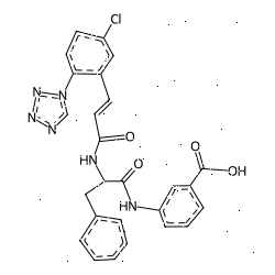 O=C(/C=C/c1cc(Cl)ccc1-n1cnnn1)NC(Cc1ccccc1)C(=O)Nc1cccc(C(=O)O)c1